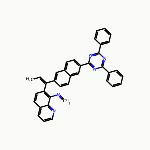 C=Nc1c(/C(=C\C)c2ccc3cc(-c4nc(-c5ccccc5)nc(-c5ccccc5)n4)ccc3c2)ccc2cccnc12